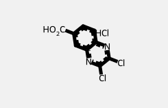 Cl.O=C(O)c1ccc2nc(Cl)c(Cl)nc2c1